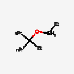 CCCC(CC)(CCC)O[SiH2]CC